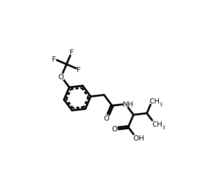 CC(C)C(NC(=O)Cc1cccc(OC(F)(F)F)c1)C(=O)O